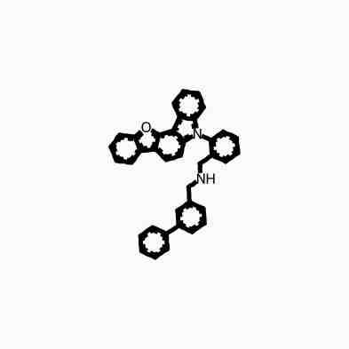 c1ccc(-c2cccc(CNCc3ccccc3-n3c4ccccc4c4c5oc6ccccc6c5ccc43)c2)cc1